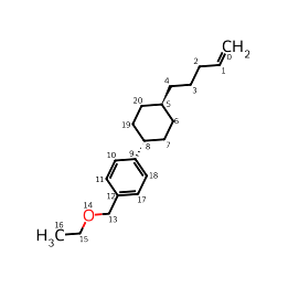 C=CCCC[C@H]1CC[C@H](c2ccc(COCC)cc2)CC1